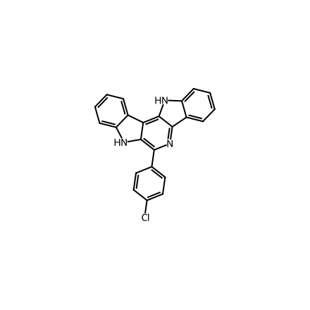 Clc1ccc(-c2nc3c4ccccc4[nH]c3c3c2[nH]c2ccccc23)cc1